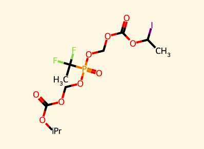 CC(C)OC(=O)OCOP(=O)(OCOC(=O)OC(C)I)C(C)(F)F